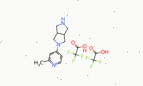 Cc1cc(N2CC3CNCC3C2)ccn1.O=C(O)C(F)(F)F.O=C(O)C(F)(F)F